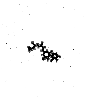 Cc1cc2c(c(F)c1F)C1=C(C=C(CCC(C)CCC(C)CC3CC3)CC(F)=C1F)C2